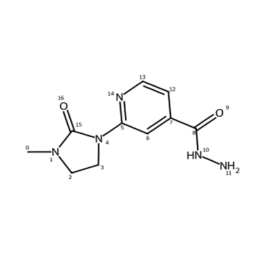 CN1CCN(c2cc(C(=O)NN)ccn2)C1=O